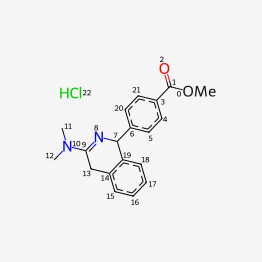 COC(=O)c1ccc(C2N=C(N(C)C)Cc3ccccc32)cc1.Cl